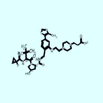 Cc1ncsc1-c1ccc(CNC(=O)[C@@H]2C[C@@H](O)CN2C(=O)[C@@H](NC(=O)C2(F)CC2)C(C)(C)C)c(OCCN2CCN(CCC(=O)O)CC2)c1